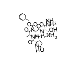 C[C@H](NC(=O)[C@@H]1CCC(=O)N1)C(=O)N(C(=O)OCc1ccccc1)[C@@H](CCCCN)C(=O)N[C@@H](CO)C(=O)NN